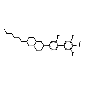 CCCCCCC1CCC2CC(c3ccc(-c4cc(F)c(OC)c(F)c4)c(F)c3)CCC2C1